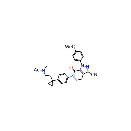 COc1ccc(-n2nc(C#N)c3c2C(=O)N(c2ccc(C4(CCN(C)C(C)=O)CC4)cc2)CC3)cc1